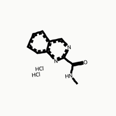 CNC(=O)c1ncc2ccccc2n1.Cl.Cl